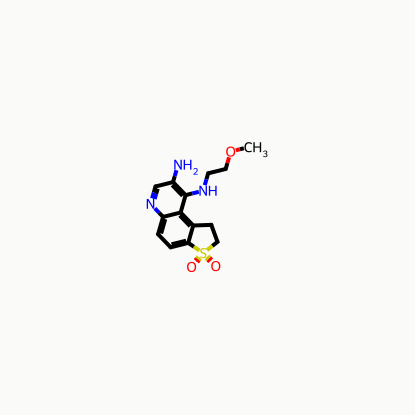 COCCNc1c(N)cnc2ccc3c(c12)CCS3(=O)=O